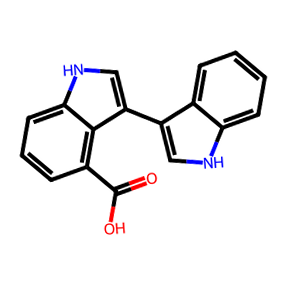 O=C(O)c1cccc2[nH]cc(-c3c[nH]c4ccccc34)c12